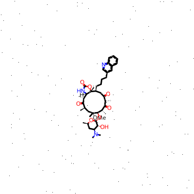 CO[C@]1(C)C[C@@H](C)C(=O)[C@H](C)[C@H]2NC(=O)O[C@]2(C)[C@@H](CCCCc2cnc3ccccc3c2)CC(=O)[C@H](C)C(=O)[C@H](C)[C@H]1O[C@@H]1O[C@H](C)C[C@H](N(C)C)[C@H]1O